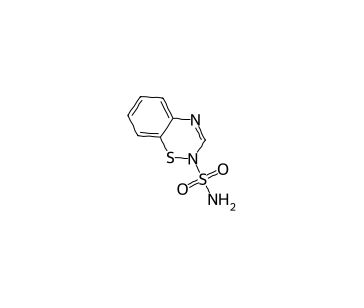 NS(=O)(=O)N1C=Nc2ccccc2S1